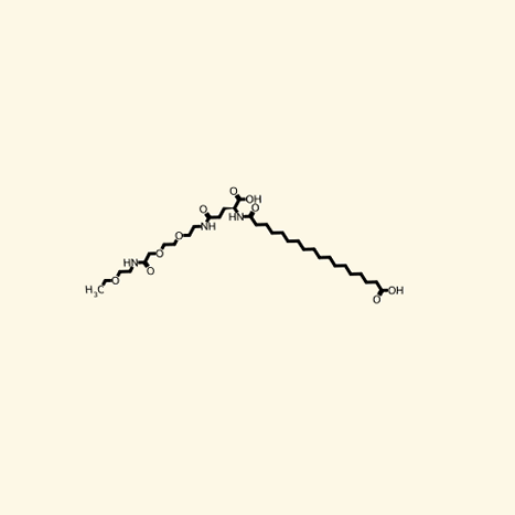 CCOCCNC(=O)COCCOCCNC(=O)CC[C@H](NC(=O)CCCCCCCCCCCCCCCCC(=O)O)C(=O)O